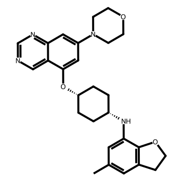 Cc1cc2c(c(N[C@H]3CC[C@@H](Oc4cc(N5CCOCC5)cc5ncncc45)CC3)c1)OCC2